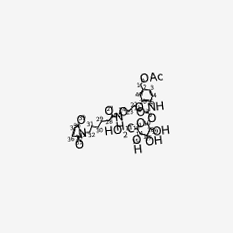 CC(=O)OCc1ccc(NC(=O)O[C@@H]2O[C@H](C(=O)O)[C@H](O)[C@H](O)[C@@H]2O)c(OCCONC(=O)CCCCCN2C(=O)C=CC2=O)c1